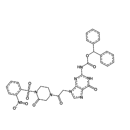 O=C(Nc1nc2c(ncn2CC(=O)N2CCN(S(=O)(=O)c3ccccc3[N+](=O)[O-])C(=O)C2)c(=O)[nH]1)OC(c1ccccc1)c1ccccc1